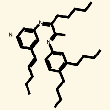 CCCC=Cc1cccc(N=C(CCCCC)C(C)=Nc2ccc(CCCC)c(CCCC)c2)c1.[Ni]